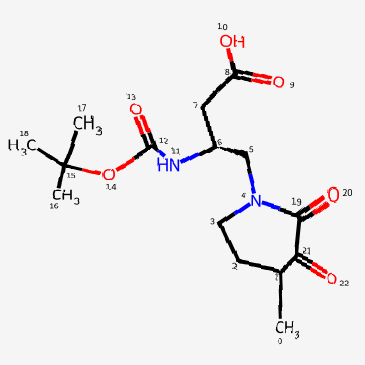 CC1CCN(C[C@H](CC(=O)O)NC(=O)OC(C)(C)C)C(=O)C1=O